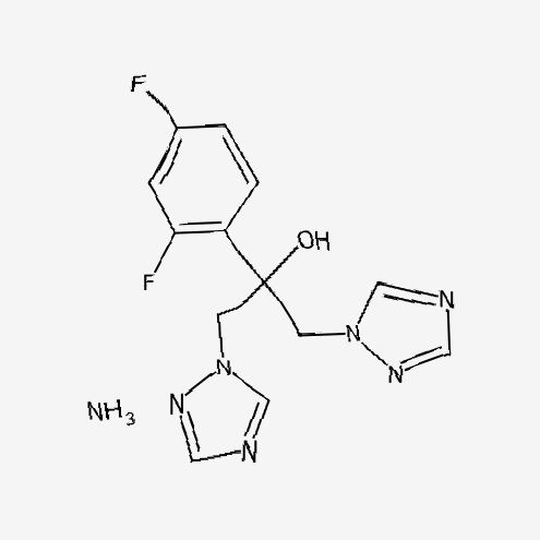 N.OC(Cn1cncn1)(Cn1cncn1)c1ccc(F)cc1F